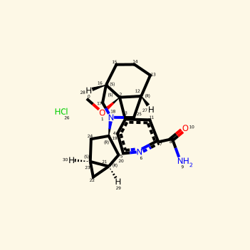 CO[C@]1(c2ccnc(C(N)=O)c2)[C@@H]2CCC[C@H]1CN([C@H]1C[C@H]3C[C@H]3C1)C2.Cl